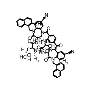 CNC(C)C(=O)NC1CN(C(=O)c2ccc(C(=O)C3NC(NC(=O)C(C)NC)C(=O)N(Cc4c(C)ccc5ccccc45)c4ccc(C#N)cc43)cc2)c2cc(C#N)ccc2N(Cc2c(C)ccc3ccccc23)C1=O.Cl.Cl